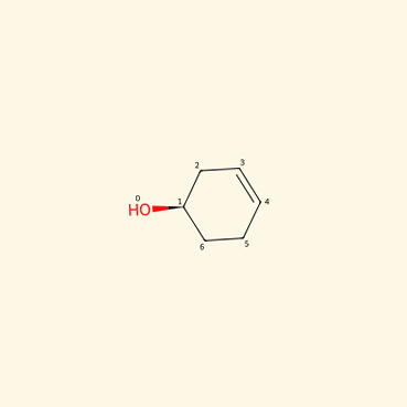 O[C@H]1CC=CCC1